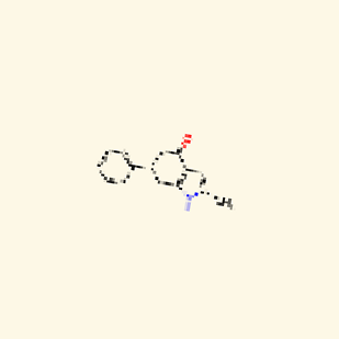 Cc1cc2c([nH]1)CC(c1ccccc1)CC2=O